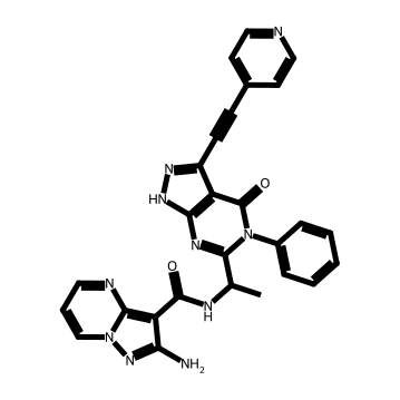 CC(NC(=O)c1c(N)nn2cccnc12)c1nc2[nH]nc(C#Cc3ccncc3)c2c(=O)n1-c1ccccc1